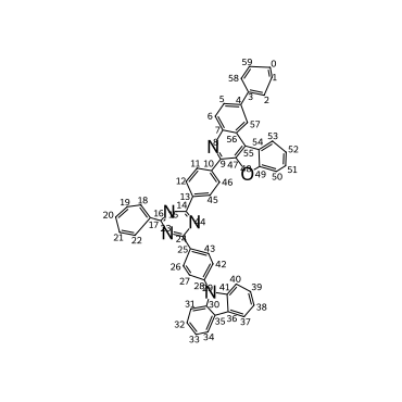 c1ccc(-c2ccc3nc(-c4ccc(-c5nc(-c6ccccc6)nc(-c6ccc(-n7c8ccccc8c8ccccc87)cc6)n5)cc4)c4oc5ccccc5c4c3c2)cc1